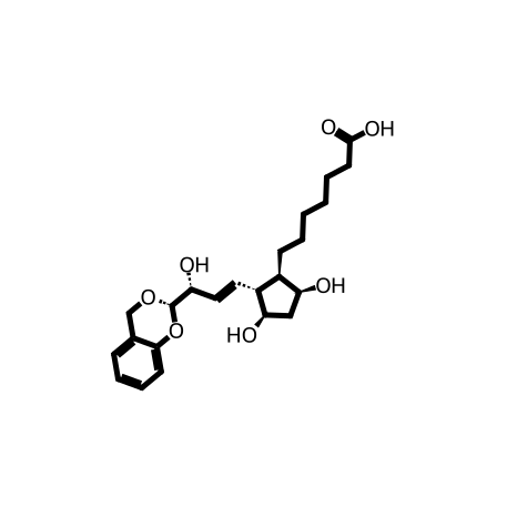 O=C(O)CCCCCC[C@@H]1[C@@H](/C=C/[C@@H](O)[C@H]2OCc3ccccc3O2)[C@H](O)C[C@@H]1O